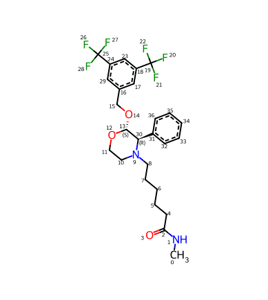 CNC(=O)CCCCCN1CCO[C@H](OCc2cc(C(F)(F)F)cc(C(F)(F)F)c2)[C@H]1c1ccccc1